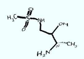 C[C@H](N)C(O)CNS(C)(=O)=O